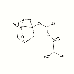 CCC(OC(=O)C(O)CC)OC12CC3CC(C1)OC(=O)C(C3)C2